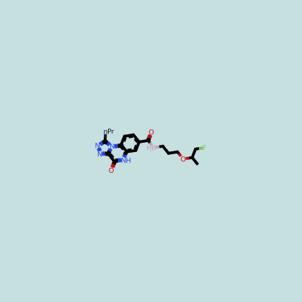 CCCc1nnc2c(=O)[nH]c3cc(C(=O)BCCCOC(C)CF)ccc3n12